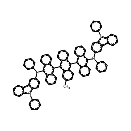 Cc1ccc2c(-c3c4ccccc4c(N(c4ccccc4)c4ccc5c(c4)c4ccccc4n5-c4ccccc4)c4ccccc34)c3ccccc3c(-c3c4ccccc4c(N(c4ccccc4)c4ccc5c(c4)c4ccccc4n5-c4ccccc4)c4ccccc34)c2c1